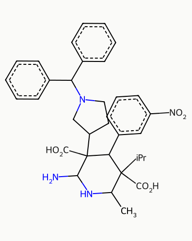 CC(C)C1(C(=O)O)C(C)NC(N)C(C(=O)O)(C2CCN(C(c3ccccc3)c3ccccc3)C2)C1c1cccc([N+](=O)[O-])c1